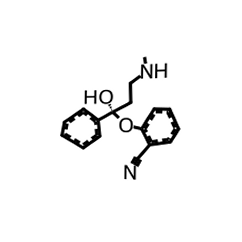 CNCC[C@@](O)(Oc1ccccc1C#N)c1ccccc1